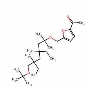 CCC(C)(COC(C)(C)C)CC(C)(CC)CC(C)(C)OCc1ccc(C(C)=O)o1